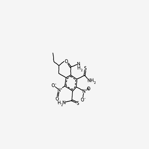 CCC(C)Cc1c(C(N)=O)c(C(N)=S)c([N+](=O)[O-])c(C(N)=S)c1[N+](=O)[O-]